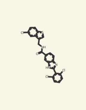 O=C(NCc1csc2ccc(Cl)cc12)c1ccc2nc(-c3c(Cl)cccc3Cl)[nH]c2c1